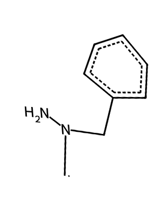 [CH2]N(N)Cc1ccccc1